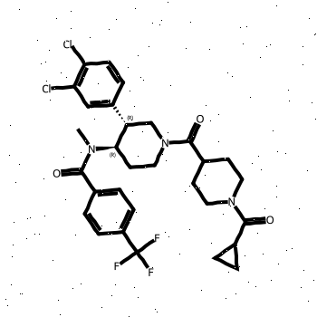 CN(C(=O)c1ccc(C(F)(F)F)cc1)[C@@H]1CCN(C(=O)C2CCN(C(=O)C3CC3)CC2)C[C@H]1c1ccc(Cl)c(Cl)c1